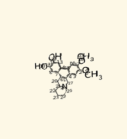 COc1cc2c3c(c4cc(O)c(O)cc4c2cc1OC)CC1CCCCN1C3